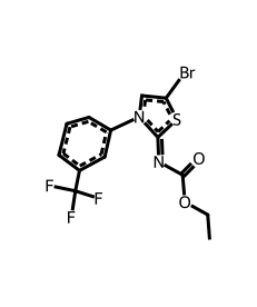 CCOC(=O)N=c1sc(Br)cn1-c1cccc(C(F)(F)F)c1